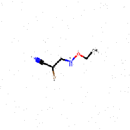 CCONCC(Br)C#N